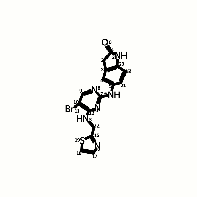 O=C1Cc2cc(Nc3ncc(Br)c(NCc4nccs4)n3)ccc2N1